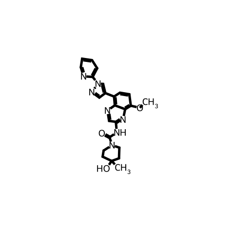 COc1ccc(-c2cnn(-c3ccccn3)c2)c2ncc(NC(=O)N3CCC(C)(O)CC3)nc12